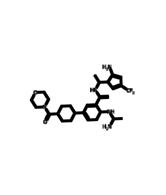 C=C(NC(C)C1C=C(C(F)(F)F)C=C1N)C1=CC(C2CCC(C(=O)N3CCOCC3)CC2)=CCC1NC(C)N